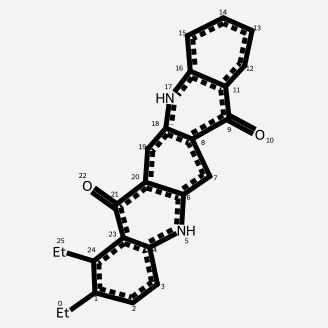 CCc1ccc2[nH]c3cc4c(=O)c5ccccc5[nH]c4cc3c(=O)c2c1CC